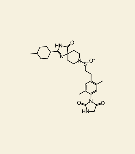 Cc1cc(N2C(=O)CNC2=O)c(C)cc1CC[S+]([O-])N1CCC2(CC1)N=C(C1CCC(C)CC1)NC2=O